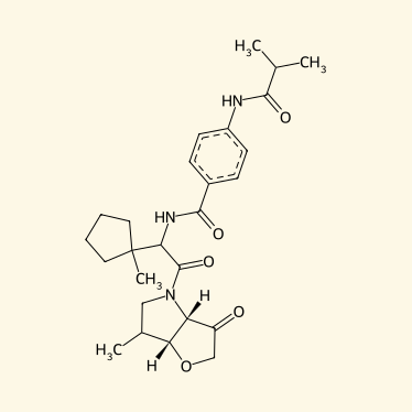 CC(C)C(=O)Nc1ccc(C(=O)NC(C(=O)N2CC(C)[C@H]3OCC(=O)[C@H]32)C2(C)CCCC2)cc1